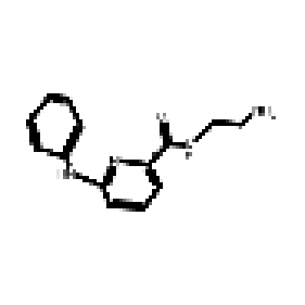 NCCNC(=O)c1cccc(Nc2ccccc2)n1